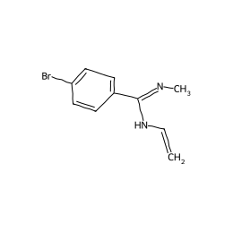 C=CN/C(=N\C)c1ccc(Br)cc1